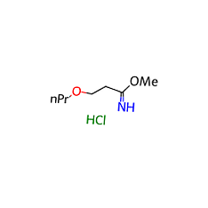 CCCOCCC(=N)OC.Cl